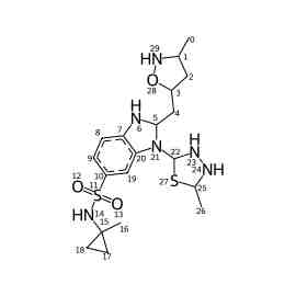 CC1CC(CC2Nc3ccc(S(=O)(=O)NC4(C)CC4)cc3N2C2NNC(C)S2)ON1